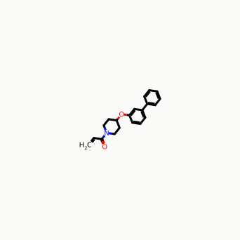 C=CC(=O)N1CCC(Oc2cccc(-c3ccccc3)c2)CC1